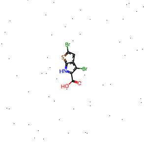 O=C(O)c1[nH]c2sc(Br)cc2c1Br